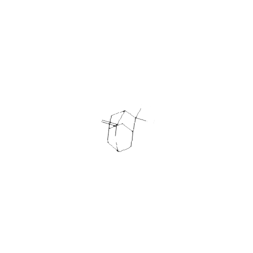 CC1(C)C2CC3CC(C2)OC(=O)C1C3